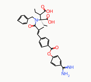 CCC(C(=O)O)[C@@](CC)(C(=O)O)N(Cc1ccccc1)C(=O)/C(C)=C/c1ccc(C(=O)Oc2ccc(C(=N)N)cc2)cc1